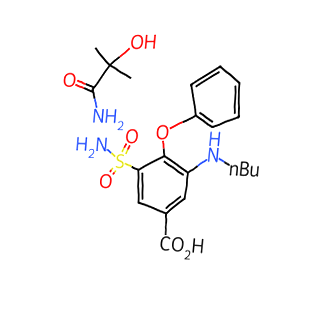 CC(C)(O)C(N)=O.CCCCNc1cc(C(=O)O)cc(S(N)(=O)=O)c1Oc1ccccc1